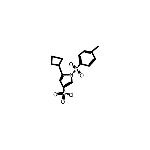 Cc1ccc(S(=O)(=O)n2cc(S(=O)(=O)Cl)cc2C2CCC2)cc1